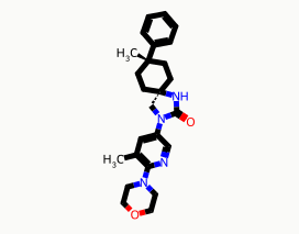 Cc1cc(N2C[C@]3(CC[C@@](C)(c4ccccc4)CC3)NC2=O)cnc1N1CCOCC1